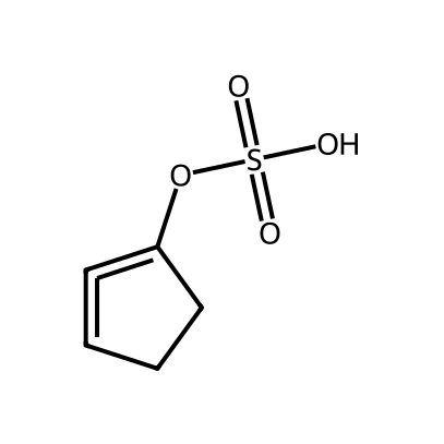 O=S(=O)(O)OC1=C=CCC1